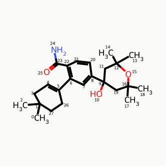 CC1(C)CC=C(c2cc(C3(O)CC(C)(C)OC(C)(C)C3)ccc2C(N)=O)CC1